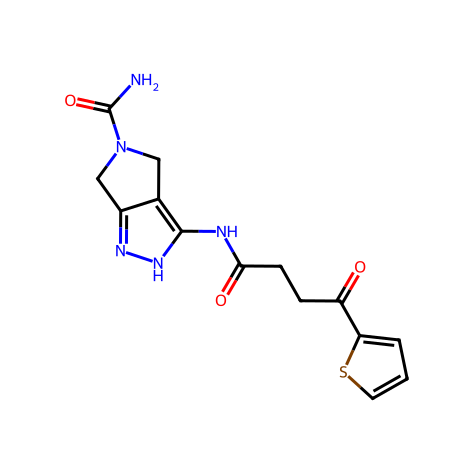 NC(=O)N1Cc2n[nH]c(NC(=O)CCC(=O)c3cccs3)c2C1